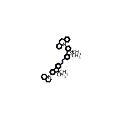 CC1(C)c2cc(/C=C/c3ccc4c(c3)-c3cc(N5c6ccccc6C=CC6C=CC=CC65)ccc3S4(C)C)ccc2-c2ccc(N3CCCC4=C3CCC=C4)cc21